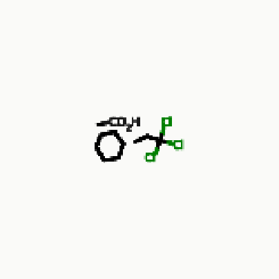 C1CCCCC1.CC(=O)O.CCC(Cl)(Cl)Cl